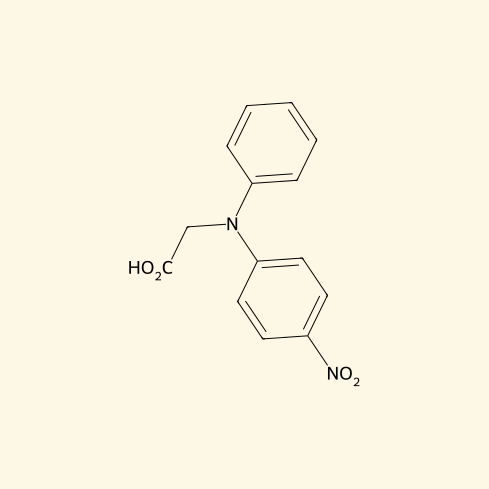 O=C(O)CN(c1ccccc1)c1ccc([N+](=O)[O-])cc1